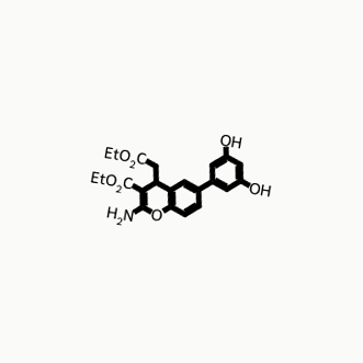 CCOC(=O)CC1C(C(=O)OCC)=C(N)Oc2ccc(-c3cc(O)cc(O)c3)cc21